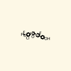 O=C1C(N2CC[C@H](c3ccc(O)cc3)[C@@H](F)C2)CCN1c1ccc(OC(F)F)c(Cl)c1